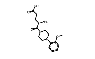 COc1ccccc1N1CCN(C(=O)[C@@H](N)CCC(=O)O)CC1